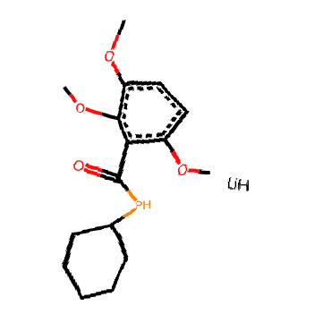 COc1ccc(OC)c(C(=O)PC2CCCCC2)c1OC.[LiH]